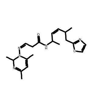 CC1=CC(C)=NC(C)N1/N=C\CC(=O)NC(C)/C=C\C(C)Cc1ncco1